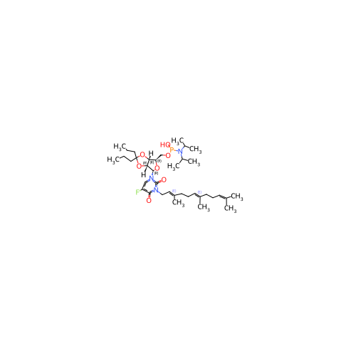 CCCC1(CCC)O[C@@H]2[C@H](O1)[C@@H](COP(O)N(C(C)C)C(C)C)O[C@H]2n1cc(F)c(=O)n(C/C=C(\C)CC/C=C(\C)CCC=C(C)C)c1=O